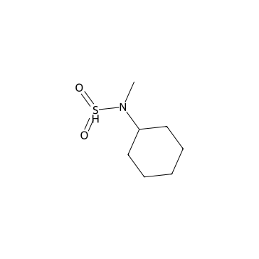 CN(C1CCCCC1)[SH](=O)=O